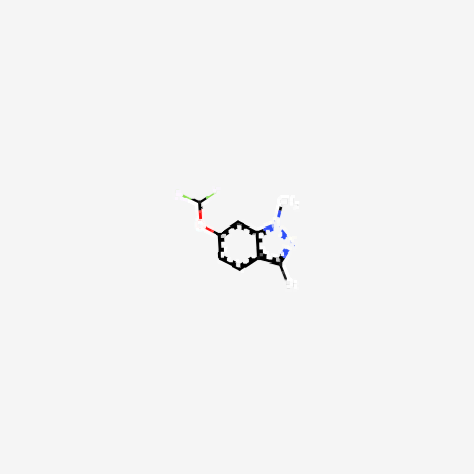 CCc1nn(C)c2cc(OC(F)F)ccc12